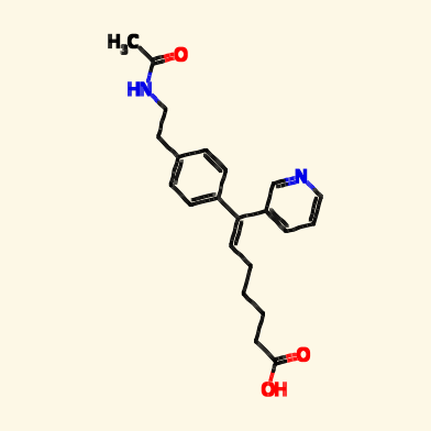 CC(=O)NCCc1ccc(C(=CCCCCC(=O)O)c2cccnc2)cc1